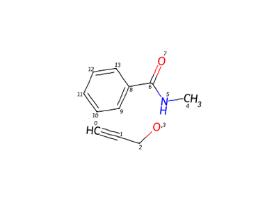 C#CC[O].CNC(=O)c1ccccc1